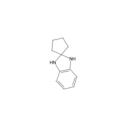 [c]1cccc2c1NC1(CCCC1)N2